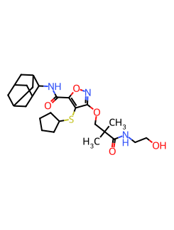 CC(C)(COc1noc(C(=O)NC2C3CC4CC(C3)CC2C4)c1SC1CCCC1)C(=O)NCCO